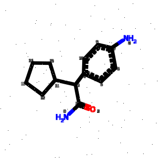 NC(=O)C(c1ccc(N)cc1)C1CCCC1